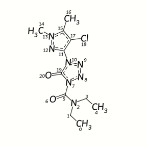 CCN(CC)C(=O)n1nnn(-c2nn(C)c(C)c2Cl)c1=O